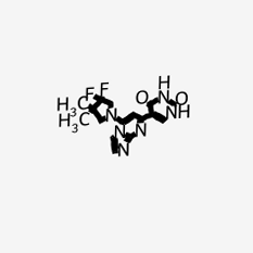 CC1(C)CN(c2cc(-c3c[nH]c(=O)[nH]c3=O)nc3nccn23)CC1(F)F